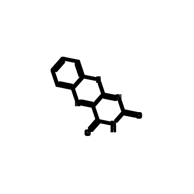 O=c1nc2sc3ccccc3nc-2c(=O)[nH]1